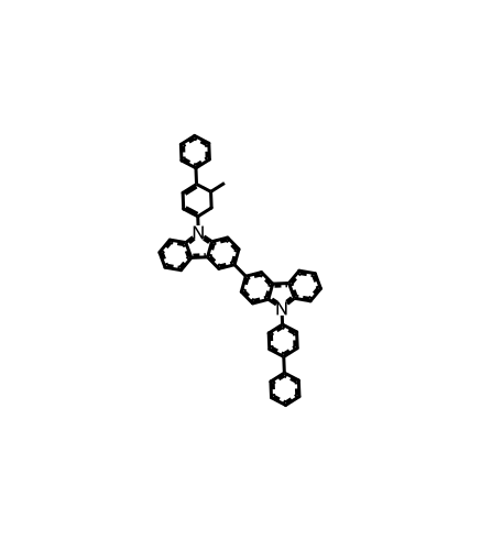 CC1CC(n2c3ccccc3c3cc(-c4ccc5c(c4)c4ccccc4n5-c4ccc(-c5ccccc5)cc4)ccc32)=CC=C1c1ccccc1